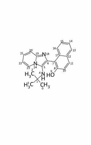 CC(C)(C)Nc1c(-c2c(O)ccc3ccccc23)nc2ccccn12